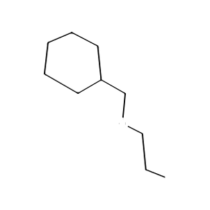 CCCOCC1CC[CH]CC1